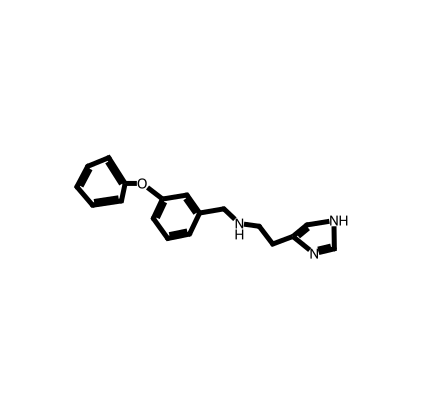 c1ccc(Oc2cccc(CNCCc3c[nH]cn3)c2)cc1